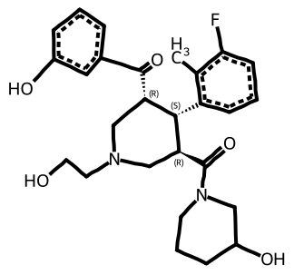 Cc1c(F)cccc1[C@H]1[C@@H](C(=O)c2cccc(O)c2)CN(CCO)C[C@@H]1C(=O)N1CCCC(O)C1